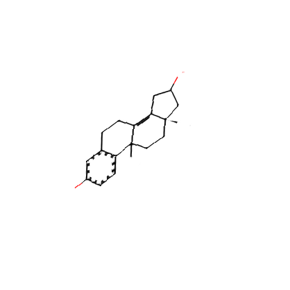 CC12CC[C@@]3(C)CC(O)CC3=C1CCc1cc(O)ccc12